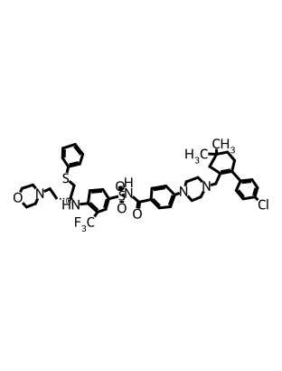 CC1(C)CCC(c2ccc(Cl)cc2)=C(CN2CCN(c3ccc(C(=O)NS(=O)(=O)c4ccc(N[C@H](CCN5CCOCC5)CSc5ccccc5)c(C(F)(F)F)c4)cc3)CC2)C1